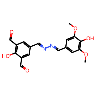 COc1cc(C=NN=Cc2cc(C=O)c(O)c(C=O)c2)cc(OC)c1O